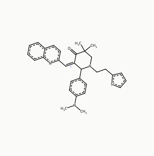 CN(C)c1ccc(C2/C(=C/c3ccc4ccccc4n3)C(=O)C(C)(C)CN2CCc2cccs2)cc1